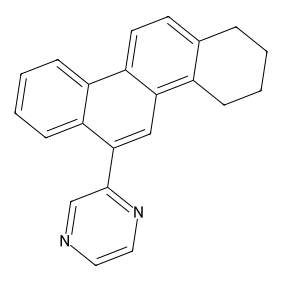 c1ccc2c(c1)c(-c1cnccn1)cc1c3c(ccc12)CCCC3